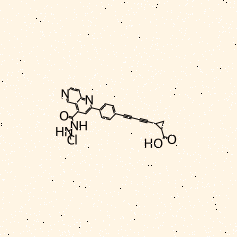 O=C(NNCl)c1cc(-c2ccc(C#CC#CC3CC3C(=O)O)cc2)nc2ccncc12